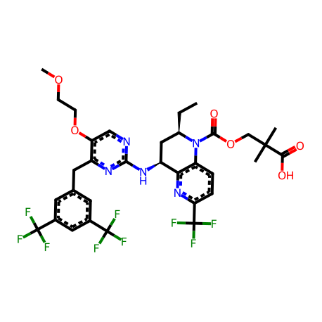 CC[C@@H]1C[C@H](Nc2ncc(OCCOC)c(Cc3cc(C(F)(F)F)cc(C(F)(F)F)c3)n2)c2nc(C(F)(F)F)ccc2N1C(=O)OCC(C)(C)C(=O)O